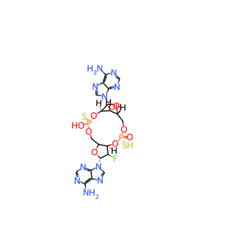 Nc1ncnc2c1ncn2[C@@H]1OC2COP(O)(=S)O[C@@H]3[C@H](O)[C@@H](COP(=O)(S)O[C@H]2[C@H]1F)O[C@H]3n1cnc2c(N)ncnc21